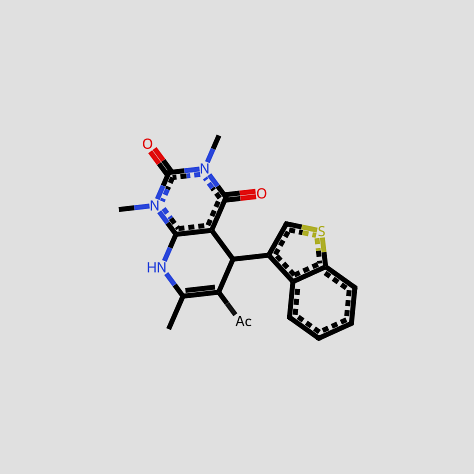 CC(=O)C1=C(C)Nc2c(c(=O)n(C)c(=O)n2C)C1c1csc2ccccc12